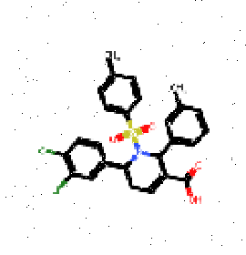 Cc1ccc(S(=O)(=O)N2C(c3ccc(Cl)c(Cl)c3)CC=C(C(=O)O)C2c2cccc(C)c2)cc1